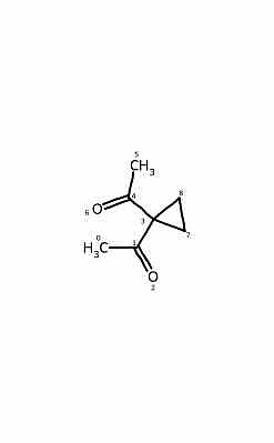 CC(=O)C1(C(C)=O)CC1